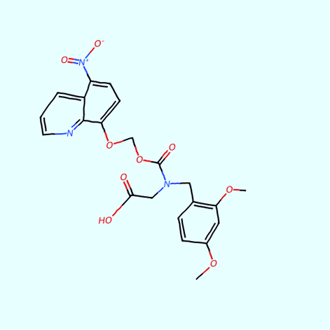 COc1ccc(CN(CC(=O)O)C(=O)OCOc2ccc([N+](=O)[O-])c3cccnc23)c(OC)c1